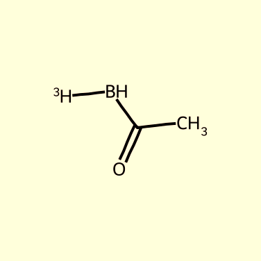 [3H]BC(C)=O